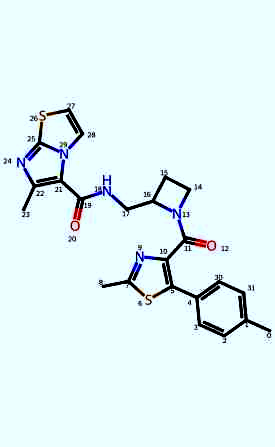 Cc1ccc(-c2sc(C)nc2C(=O)N2CCC2CNC(=O)c2c(C)nc3sccn23)cc1